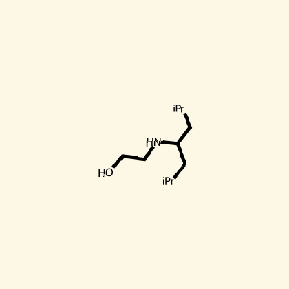 CC(C)CC(CC(C)C)NCCO